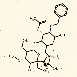 CCC1(C(=O)OC)O[C@@H](O[C@@H]2C(COC(C)=O)OC(O)C(OCc3ccccc3)[C@H]2OC(C)=O)C(OC)[C@@H](OC)[C@@H]1C